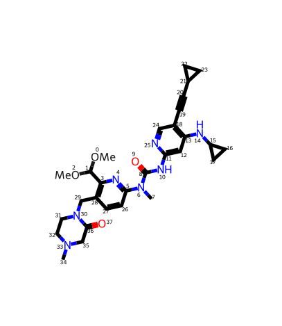 COC(OC)c1nc(N(C)C(=O)Nc2cc(NC3CC3)c(C#CC3CC3)cn2)ccc1CN1CCN(C)CC1=O